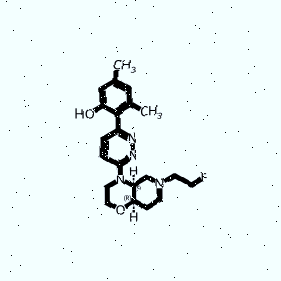 Cc1cc(C)c(-c2ccc(N3CCO[C@@H]4CCN(CCF)C[C@@H]43)nn2)c(O)c1